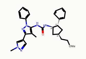 COCC[C@H]1C[C@@H](NC(=O)Nc2c(C)c(-c3cnn(C)c3)nn2-c2ccccc2)[C@H](c2ccccc2)C1